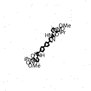 COC(=O)NC(C(=O)N1C[C@@H](C)C[C@@H]1c1ncc(-c2ccc(-c3ccc(-c4cnc5nc([C@@H]6C[C@H](C)CN6C(=O)[C@@H](NC(=O)OC)C(C)C)[nH]c5c4)cc3)cc2)[nH]1)C(C)C